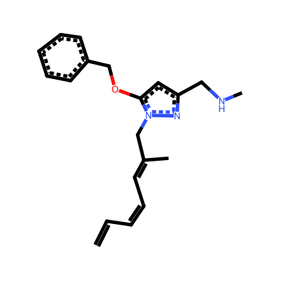 C=C/C=C\C=C(/C)Cn1nc(CNC)cc1OCc1ccccc1